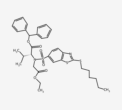 CCCCCCSc1nc2ccc(S(=O)(=O)N(CC(=O)OCC)[C@@H](C(=O)OC(c3ccccc3)c3ccccc3)C(C)C)cc2s1